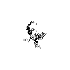 C[n+]1cc(OCC(O/N=C(\C(=O)N[C@@H]2C(=O)N(OS(=O)(=O)[O-])C2(C)C)c2csc(N)n2)C(=O)O)ccc1-c1cnn(CCCN)c1